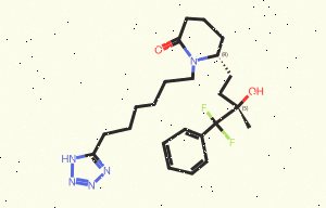 C[C@](O)(CC[C@H]1CCCC(=O)N1CCCCCCc1nnn[nH]1)C(F)(F)c1ccccc1